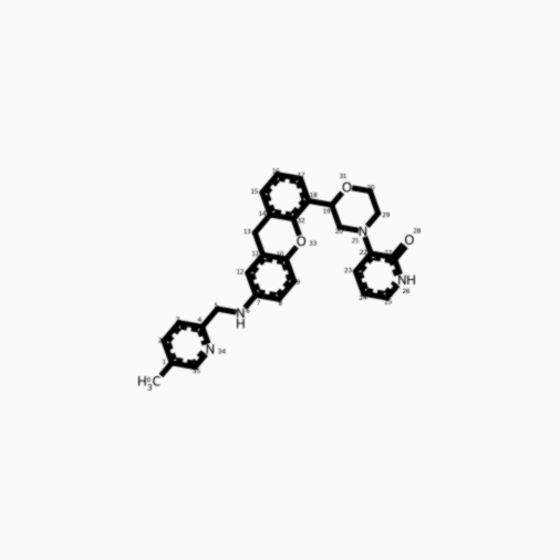 Cc1ccc(CNc2ccc3c(c2)Cc2cccc(C4CN(c5ccc[nH]c5=O)CCO4)c2O3)nc1